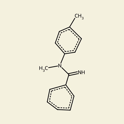 Cc1ccc(N(C)C(=N)c2ccccc2)cc1